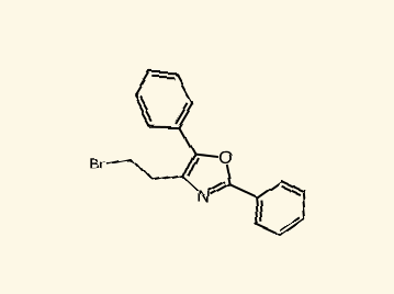 BrCCc1nc(-c2ccccc2)oc1-c1ccccc1